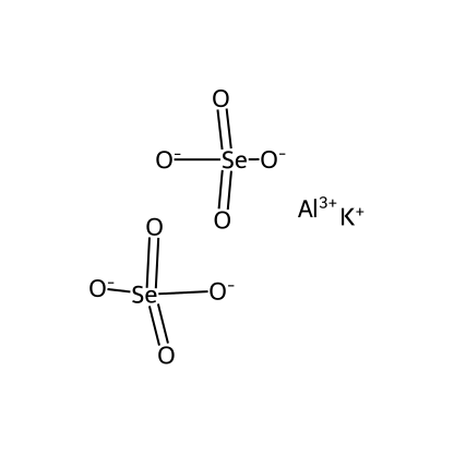 O=[Se](=O)([O-])[O-].O=[Se](=O)([O-])[O-].[Al+3].[K+]